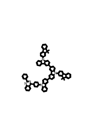 CC1(C)c2ccccc2-c2ccc(-n3c4ccccc4c4cc(-c5ccc6c(c5)c5cc(-c7ccc8c(c7)c7ccccc7n8-c7ccc(-c8nc(-c9ccccc9)nc9ccccc89)cc7)ccc5n6-c5ccc6c(c5)C(C)(C)c5ccccc5-6)ccc43)cc21